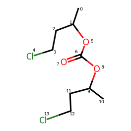 CC(CCCl)OC(=O)OC(C)CCCl